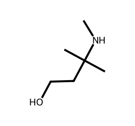 CNC(C)(C)CCO